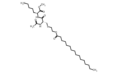 CCCCCCCCCCCCCCCC(=O)OCCSC[C@H](NC(C)=O)C(=O)N[C@@H](CCCCN)C(=O)OC